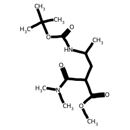 COC(=O)C(CC(C)NC(=O)OC(C)(C)C)C(=O)N(C)C